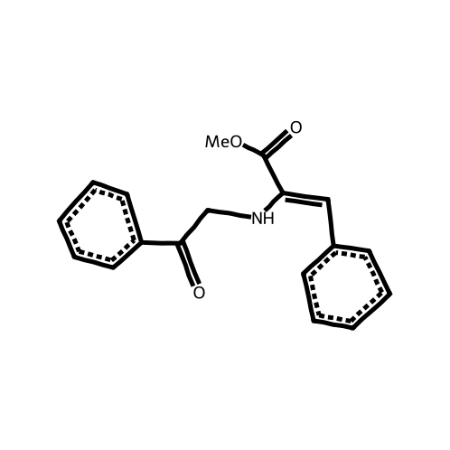 COC(=O)/C(=C/c1ccccc1)NCC(=O)c1ccccc1